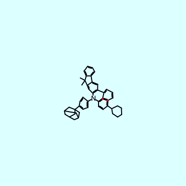 CC1(C)c2ccccc2-c2cc(-c3ccccc3)c(N(c3ccc(C4CCCCC4)cc3)c3ccc(C45CC6CC(CC(C6)C4)C5)cc3)cc21